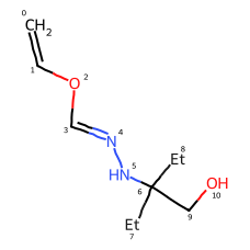 C=COC=NNC(CC)(CC)CO